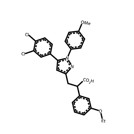 CCOc1cccc(C(Cc2cc(-c3ccc(Cl)c(Cl)c3)n(-c3ccc(OC)cc3)n2)C(=O)O)c1